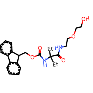 CCC(CC)(NC(=O)OCC1c2ccccc2-c2ccccc21)C(=O)NCCOCCO